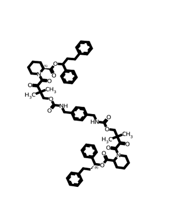 CC(C)(COC(=O)NCc1ccc(CNC(=O)OCC(C)(C)C(=O)C(=O)N2CCCC[C@H]2C(=O)OC(CCc2ccccc2)c2ccccc2)cc1)C(=O)C(=O)N1CCCCC1C(=O)O[C@H](CCc1ccccc1)c1ccccc1